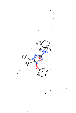 Cc1noc(N2C[C@H]3CC[C@@H](C2)[C@H]3Nc2nc(Oc3cccc(F)c3)n(CC(F)(F)F)n2)n1